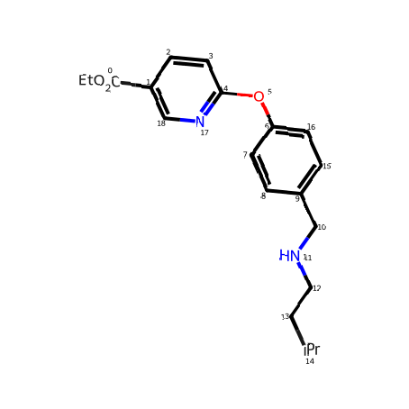 CCOC(=O)c1ccc(Oc2ccc(CNCCC(C)C)cc2)nc1